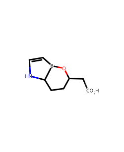 O=C(O)CC1CCC2NC=CB2O1